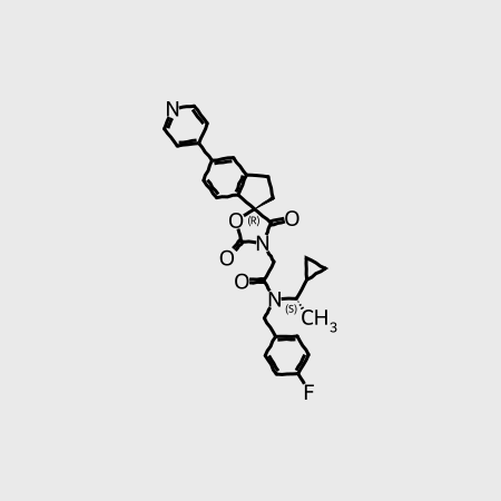 C[C@@H](C1CC1)N(Cc1ccc(F)cc1)C(=O)CN1C(=O)O[C@@]2(CCc3cc(-c4ccncc4)ccc32)C1=O